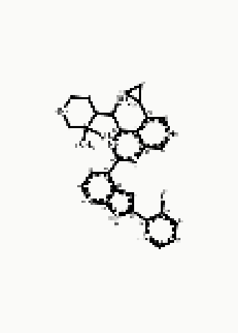 CC1(C)CNCCC1C(N)c1nc(-c2ccnc3[nH]c(-c4ncccc4F)cc23)nc2cncc(C3CC3)c12